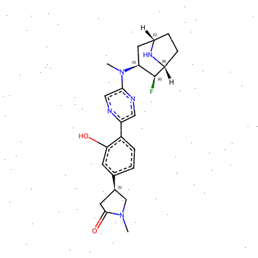 CN1C[C@H](c2ccc(-c3cnc(N(C)[C@H]4C[C@@H]5CC[C@@H](N5)[C@H]4F)cn3)c(O)c2)CC1=O